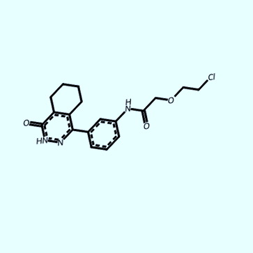 O=C(COCCCl)Nc1cccc(-c2n[nH]c(=O)c3c2CCCC3)c1